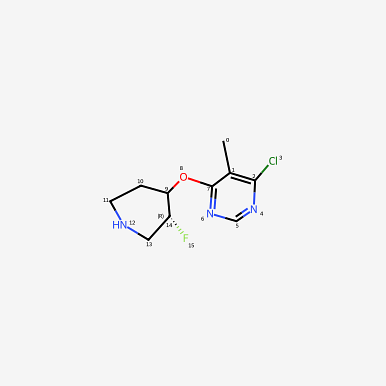 Cc1c(Cl)ncnc1OC1CCNC[C@H]1F